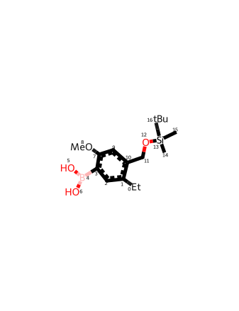 CCc1cc(B(O)O)c(OC)cc1CO[Si](C)(C)C(C)(C)C